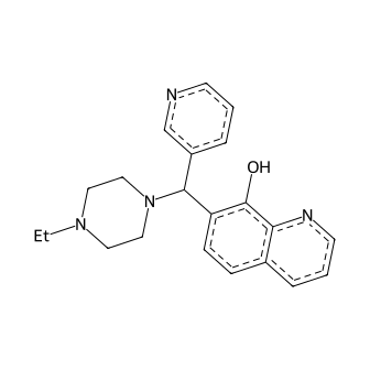 CCN1CCN(C(c2cccnc2)c2ccc3cccnc3c2O)CC1